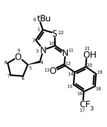 CC(C)(C)c1cn(C[C@H]2CCCO2)c(=NC(=O)c2cc(C(F)(F)F)ccc2O)s1